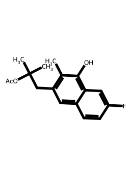 CC(=O)OC(C)(C)Cc1cc2ccc(F)cc2c(O)c1C